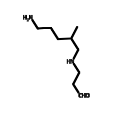 CC(CCCN)CNCCC=O